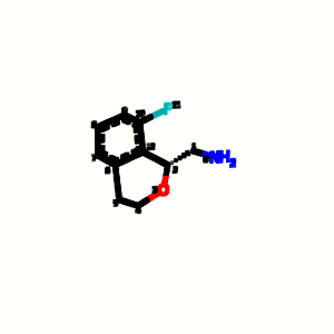 NC[C@@H]1OCCc2cccc(F)c21